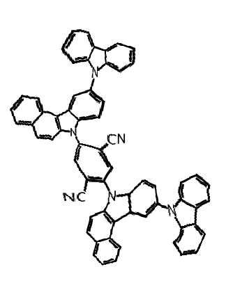 N#Cc1cc(-n2c3ccc(-n4c5ccccc5c5ccccc54)cc3c3c4ccccc4ccc32)c(C#N)cc1N1c2ccc3ccccc3c2C2C=C(n3c4ccccc4c4ccccc43)C=CC21